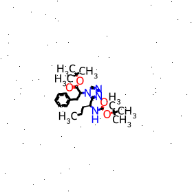 CCC[C@H](NC(=O)OC(C)(C)C)c1nncn1C(Cc1ccccc1)C(=O)OC(C)(C)C